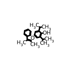 CC(C)c1cccc(C(C)C)c1O.Cc1oc2ccccc2c1C